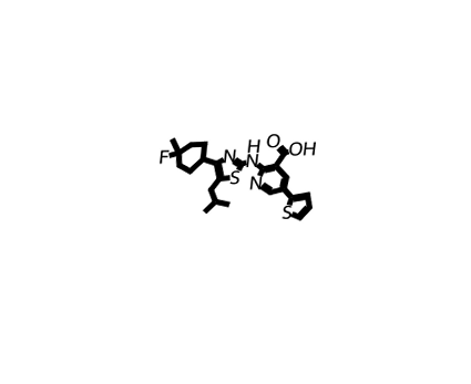 CC(C)Cc1sc(Nc2ncc(-c3cccs3)cc2C(=O)O)nc1C1CCC(C)(F)CC1